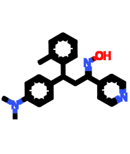 Cc1ccccc1C(C/C(=N/O)c1ccncc1)c1ccc(N(C)C)cc1